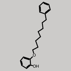 Oc1ccccc1OCCCCCCCCc1ccccc1